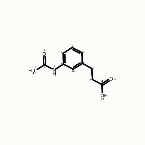 CC(=O)Nc1cccc(CCC(=O)O)c1